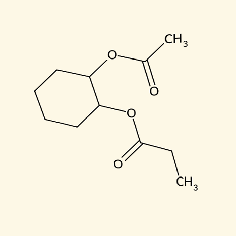 CCC(=O)OC1CCCCC1OC(C)=O